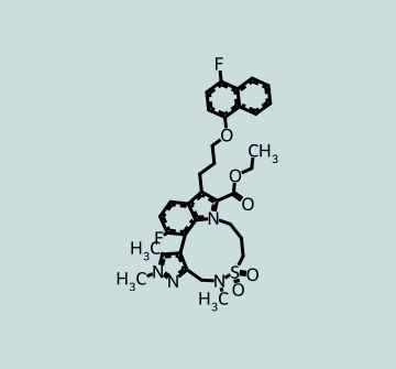 CCOC(=O)c1c(CCCOc2ccc(F)c3ccccc23)c2ccc(F)c3c2n1CCCS(=O)(=O)N(C)Cc1nn(C)c(C)c1-3